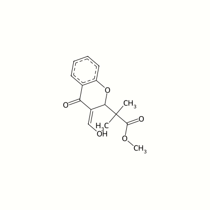 COC(=O)C(C)(C)C1Oc2ccccc2C(=O)/C1=C/O